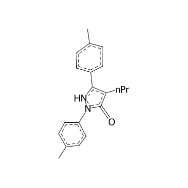 CCCc1c(-c2ccc(C)cc2)[nH]n(-c2ccc(C)cc2)c1=O